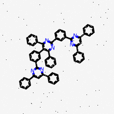 c1ccc(-c2cc(-c3ccccc3)nc(-c3cccc(-c4nc(-c5ccccc5)c(-c5cccc(-c6nc(-c7ccccc7)cc(-c7ccccc7)n6)c5)c(-c5ccccc5)n4)c3)n2)cc1